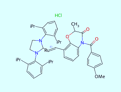 COc1ccc(C(=O)N2C(=O)C(C)Oc3c(/[CH]=[Ru]/[CH]4N(c5c(C(C)C)cccc5C(C)C)CCN4c4c(C(C)C)cccc4C(C)C)cccc32)cc1.Cl